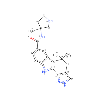 CC1(NC(=O)c2ccc3[nH]c4c(c3c2)C(C)(C)Cc2c[nH]nc2-4)CCNC1